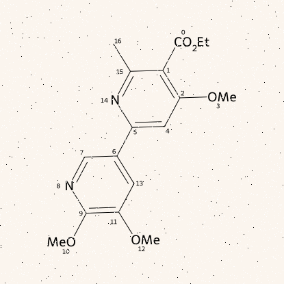 CCOC(=O)c1c(OC)cc(-c2cnc(OC)c(OC)c2)nc1C